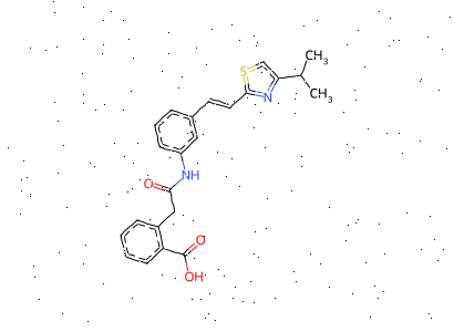 CC(C)c1csc(/C=C/c2cccc(NC(=O)Cc3ccccc3C(=O)O)c2)n1